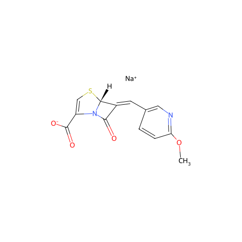 COc1ccc(/C=C2\C(=O)N3C(C(=O)[O-])=CS[C@H]23)cn1.[Na+]